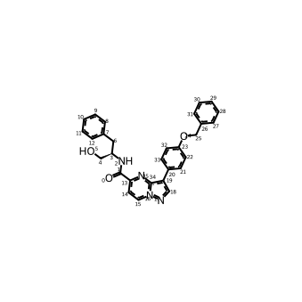 O=C(N[C@@H](CO)Cc1ccccc1)c1ccn2ncc(-c3ccc(OCc4ccccc4)cc3)c2n1